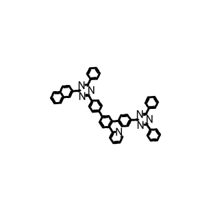 c1ccc(-c2nc(-c3ccccc3)nc(-c3ccc(-c4cc(-c5ccc(-c6nc(-c7ccccc7)nc(-c7ccc8ccccc8c7)n6)cc5)ccc4-c4ccccn4)cc3)n2)cc1